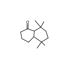 CC1(C)CCC(C)(C)C2C(=O)CCCC21